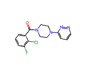 O=C(c1cccc(F)c1Cl)N1CCN(c2cccnn2)CC1